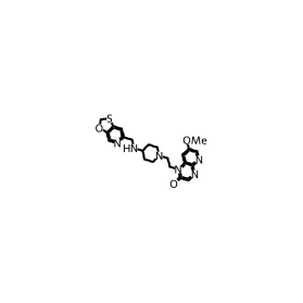 COc1cnc2ncc(=O)n(CCN3CCC(NCc4cc5c(cn4)OCS5)CC3)c2c1